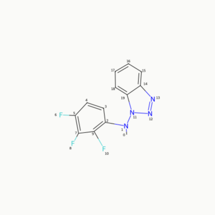 CN(c1ccc(F)c(F)c1F)n1nnc2ccccc21